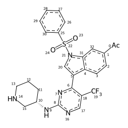 CC(=O)c1ccc2c(-c3nc(N[C@H]4CCCNC4)ncc3C(F)(F)F)cn(S(=O)(=O)c3ccccc3)c2c1